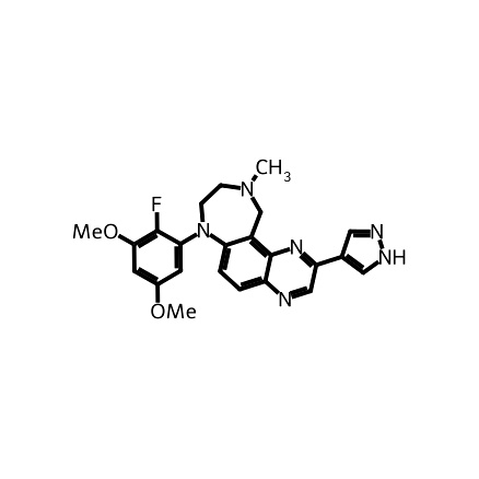 COc1cc(OC)c(F)c(N2CCN(C)Cc3c2ccc2ncc(-c4cn[nH]c4)nc32)c1